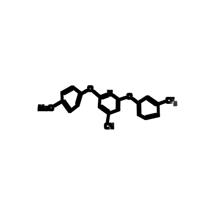 COc1ccc(Oc2cc(C#N)cc(Oc3cccc(C(F)(F)F)c3)n2)cc1